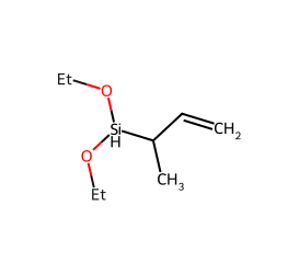 C=CC(C)[SiH](OCC)OCC